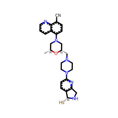 C[C@@H]1CN(c2ccc(C#N)c3ncccc23)C[C@H](CN2CCN(c3ccc4c(n3)CN[C@@H]4S)CC2)O1